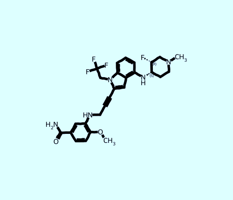 COc1ccc(C(N)=O)cc1NCC#Cc1cc2c(N[C@H]3CCN(C)C[C@H]3F)cccc2n1CC(F)(F)F